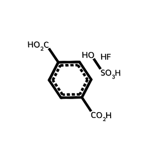 F.O=C(O)c1ccc(C(=O)O)cc1.O=S(=O)(O)O